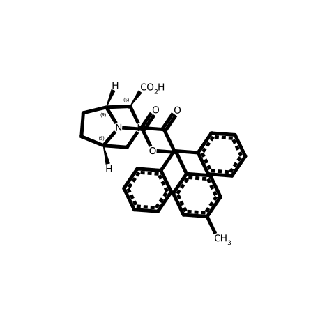 Cc1ccc(COC(=O)N2[C@H]3CC[C@@H]2[C@@H](C(=O)O)N(C(=O)C(c2ccccc2)c2ccccc2)C3)cc1